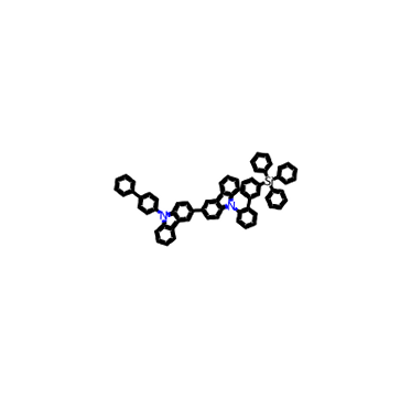 c1ccc(-c2ccc(-n3c4ccccc4c4cc(-c5ccc6c(c5)c5ccccc5n6-c5ccccc5-c5cccc([Si](c6ccccc6)(c6ccccc6)c6ccccc6)c5)ccc43)cc2)cc1